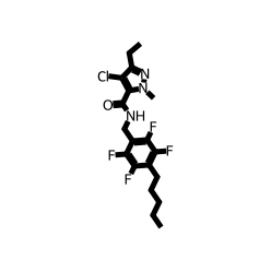 CCCCCc1c(F)c(F)c(CNC(=O)c2c(Cl)c(CC)nn2C)c(F)c1F